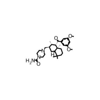 COc1cc(OC)cc(C(=O)[C@H]2[C@@H](C)[C@H](CN3CCN(C(N)=O)CC3)C[C@H]3C(C)(C)CCC[C@]23C)c1